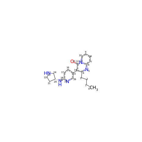 CCCCc1nc2ccccn2c(=O)c1-c1ccc(N[C@@H]2CCNC2)nc1